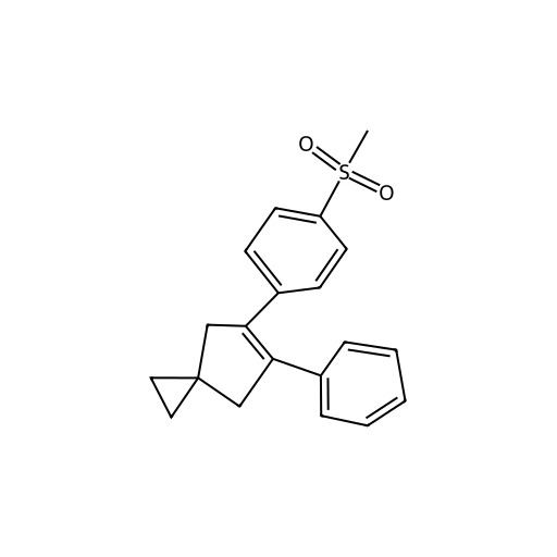 CS(=O)(=O)c1ccc(C2=C(c3ccccc3)CC3(CC3)C2)cc1